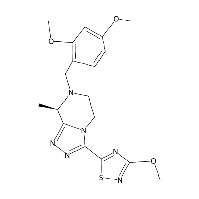 COc1ccc(CN2CCn3c(-c4nc(OC)ns4)nnc3[C@H]2C)c(OC)c1